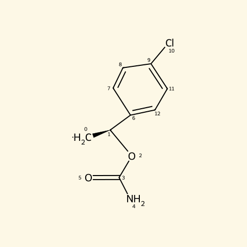 [CH2][C@H](OC(N)=O)c1ccc(Cl)cc1